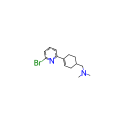 CN(C)CC1CC=C(c2cccc(Br)n2)CC1